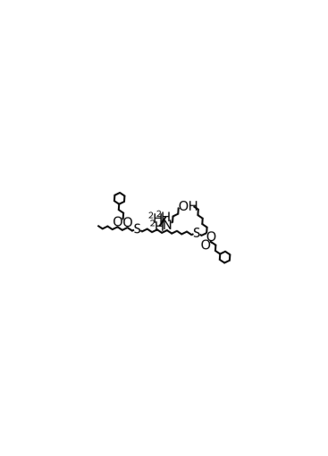 [2H]C([2H])([2H])N(CCCCO)C(CCCCCSCC(CCCCCC)OC(=O)CCC1CCCCC1)CCCCCSCC(CCCCCC)OC(=O)CCC1CCCCC1